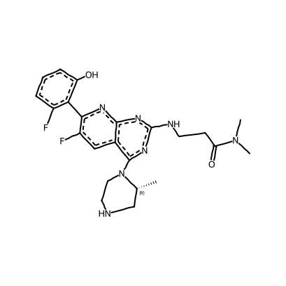 C[C@@H]1CNCCN1c1nc(NCCC(=O)N(C)C)nc2nc(-c3c(O)cccc3F)c(F)cc12